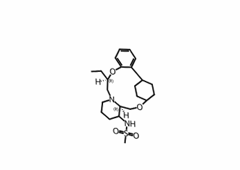 CC[C@@H]1CN2CCCC(NS(C)(=O)=O)[C@@H]2COC2CCC(CC2)c2ccccc2O1